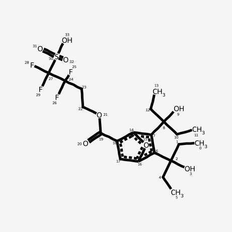 CCC(O)(CC)c1c(C(O)(CC)CC)c2oc1cc2C(=O)OCCC(F)(F)C(F)(F)S(=O)(=O)O